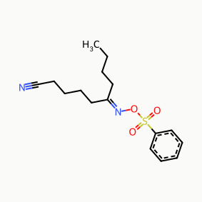 CCCC/C(CCCCC#N)=N\OS(=O)(=O)c1ccccc1